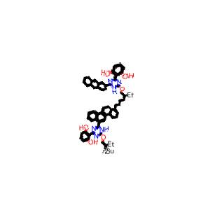 CCCCC(CC)COC1N=C(c2c(O)cccc2O)N=C(C2=CC3=C(C=CC4C(CCCCC(CC)COC5N=C(C6C(O)=CC=CC6O)N=C(C6C=c7cc8c(cc7=CC6)C=CCC8)N5)=CCCC34)C3C=CC=CC23)N1